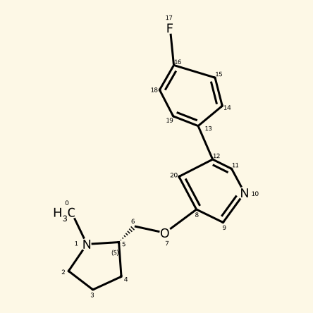 CN1CCC[C@H]1COc1cncc(-c2ccc(F)cc2)c1